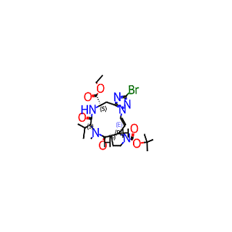 CCOC(=O)[C@@H]1Cc2nc(Br)nn2/C=C/[C@@H]2[C@H](CCN2C(=O)OC(C)(C)C)C(=O)N(C)[C@@H](C(C)C)C(=O)N1